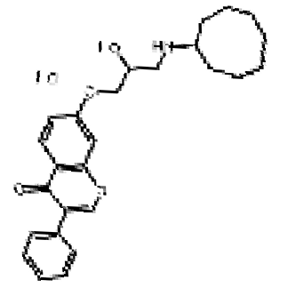 Cl.O=c1c(-c2ccccc2)coc2cc(OCC(O)CNC3CCCCCCC3)ccc12